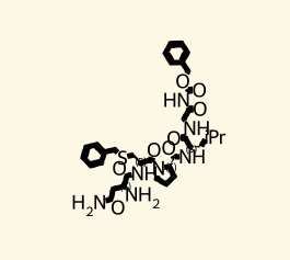 CC(C)C[C@H](NC(=O)[C@@H]1CCCN1C(=O)[C@H](CSCc1ccccc1)NC(=O)[C@@H](N)CC(N)=O)C(=O)NCC(=O)NC(=O)OCc1ccccc1